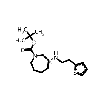 CC(C)(C)OC(=O)N1CCCC[C@@H](NCCc2cccs2)C1